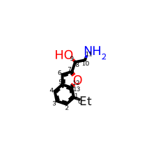 CCc1cccc2cc(C(O)CN)oc12